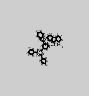 CC1(C)c2ccccc2-c2ccc(-n3c(-c4cccc(-c5nc(-c6ccccc6)nc(-c6ccccc6)n5)c4)nc4ccccc43)cc21